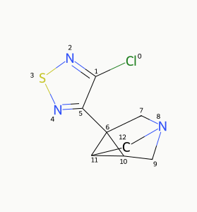 Clc1nsnc1C12CN3CC1C2C3